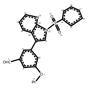 CC(C)Oc1cc(C=O)cc(-c2cn(S(=O)(=O)c3ccccc3)c3ncccc23)c1